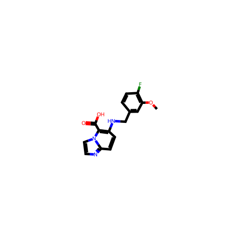 COc1cc(CNc2ccc3nccn3c2C(=O)O)ccc1F